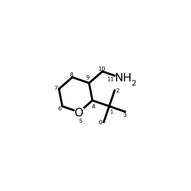 CC(C)(C)C1OCCCC1CN